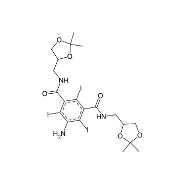 CC1(C)OCC(CNC(=O)c2c(I)c(N)c(I)c(C(=O)NCC3COC(C)(C)O3)c2I)O1